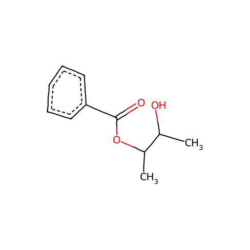 CC(O)C(C)OC(=O)c1ccccc1